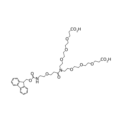 O=C(O)CCOCCOCCOCCN(CCOCCOCCOCCC(=O)O)C(=O)CCOCCNC(=O)OCC1c2ccccc2-c2ccccc21